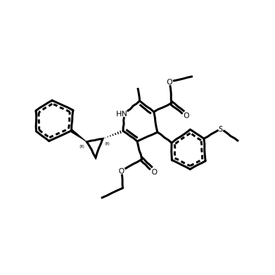 CCOC(=O)C1=C([C@@H]2C[C@H]2c2ccccc2)NC(C)=C(C(=O)OC)C1c1cccc(SC)c1